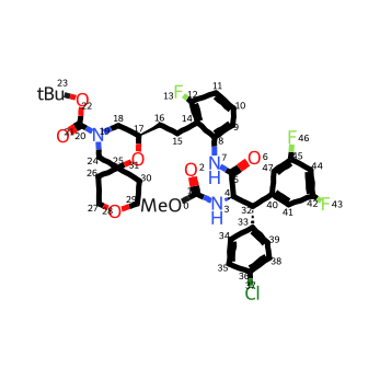 COC(=O)N[C@H](C(=O)Nc1cccc(F)c1CC[C@@H]1CN(C(=O)OC(C)(C)C)CC2(CCOCC2)O1)[C@@H](c1ccc(Cl)cc1)c1cc(F)cc(F)c1